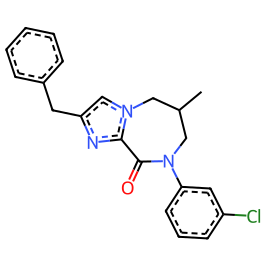 CC1CN(c2cccc(Cl)c2)C(=O)c2nc(Cc3ccccc3)cn2C1